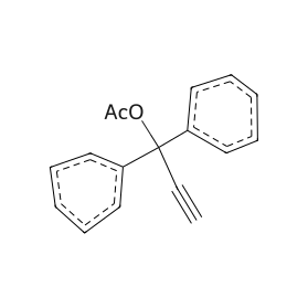 C#CC(OC(C)=O)(c1ccccc1)c1ccccc1